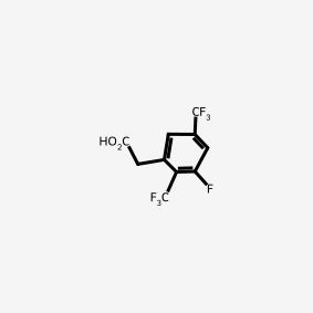 O=C(O)Cc1cc(C(F)(F)F)cc(F)c1C(F)(F)F